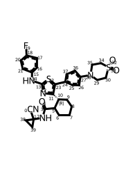 N#CC1(NC(=O)C2CCCC[C@H]2c2nc(Nc3ccc(F)cc3)sc2-c2ccc(N3CCS(=O)(=O)CC3)cc2)CC1